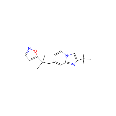 CC(C)(C)c1cn2ccc(CC(C)(C)c3ccno3)cc2n1